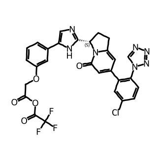 O=C(COc1cccc(-c2cnc([C@@H]3CCc4cc(-c5cc(Cl)ccc5-n5cnnn5)cc(=O)n43)[nH]2)c1)OC(=O)C(F)(F)F